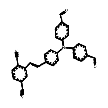 N#Cc1ccc(C#N)c(C=Cc2ccc(N(c3ccc(C=O)cc3)c3ccc(C=O)cc3)cc2)c1